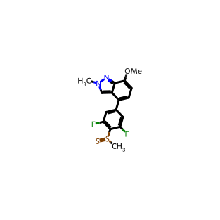 COc1ccc(-c2cc(F)c(S(C)=S)c(F)c2)c2cn(C)nc12